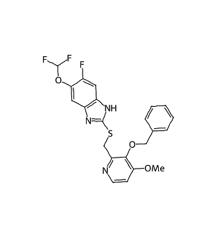 COc1ccnc(CSc2nc3cc(OC(F)F)c(F)cc3[nH]2)c1OCc1ccccc1